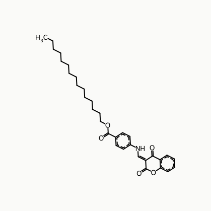 CCCCCCCCCCCCCCCOC(=O)c1ccc(NC=C2C(=O)Oc3ccccc3C2=O)cc1